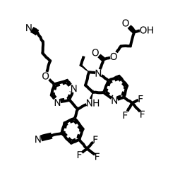 CC[C@@H]1C[C@H](NC(c2cc(C#N)cc(C(F)(F)F)c2)c2ncc(OCCCC#N)cn2)c2nc(C(F)(F)F)ccc2N1C(=O)OCCC(=O)O